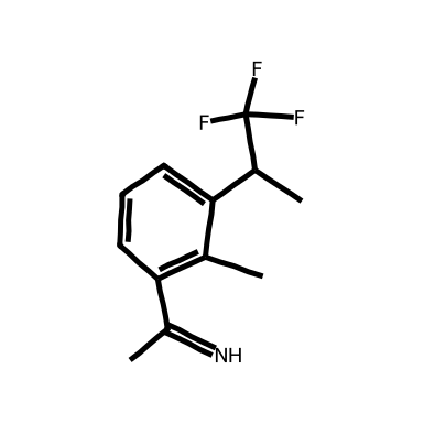 CC(=N)c1cccc(C(C)C(F)(F)F)c1C